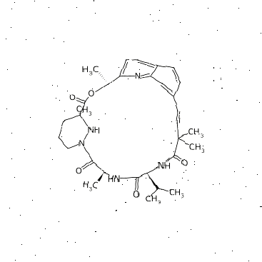 CC(C)[C@@H]1NC(=O)C(C)(C)/C=C/c2ccc3ccc(nc3c2)[C@@H](C)OC(=O)[C@]2(C)CCCN(N2)C(=O)[C@H](C)NC1=O